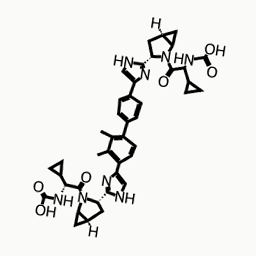 Cc1c(-c2ccc(-c3c[nH]c([C@@H]4C[C@H]5CC5N4C(=O)[C@H](NC(=O)O)C4CC4)n3)cc2)ccc(-c2c[nH]c([C@@H]3C[C@H]4CC4N3C(=O)[C@H](NC(=O)O)C3CC3)n2)c1C